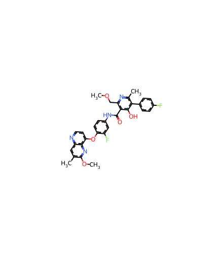 COCc1nc(C)c(-c2ccc(F)cc2)c(O)c1C(=O)Nc1ccc(Oc2ccnc3cc(C)c(OC)nc23)c(F)c1